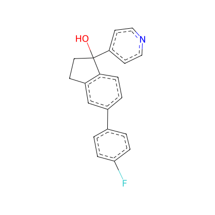 OC1(c2ccncc2)CCc2cc(-c3ccc(F)cc3)ccc21